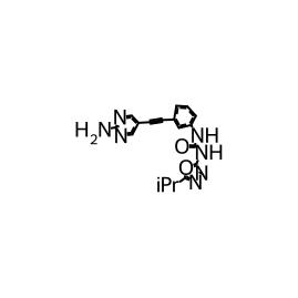 CC(C)c1nnc(NC(=O)Nc2cccc(C#Cc3cnc(N)nc3)c2)o1